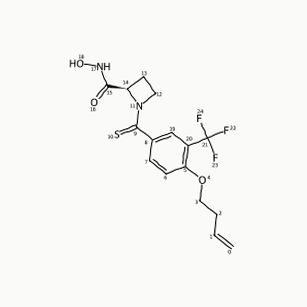 C=CCCOc1ccc(C(=S)N2CC[C@@H]2C(=O)NO)cc1C(F)(F)F